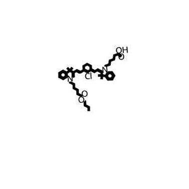 CCCCOC(=O)CCCCCN1C=C(/C=C/C2=C(Cl)C(=C/C=C3/N(CCCCCC(=O)O)c4ccccc4C3(C)C)/CCC2)C(C)(C)c2ccccc21